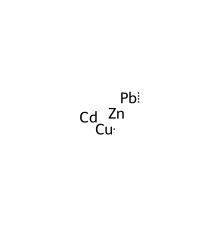 [Cd].[Cu].[Pb].[Zn]